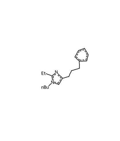 CCCCn1cc(CCCc2ccccc2)nc1CC